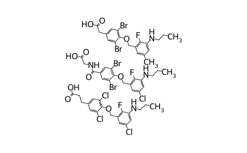 CCCNc1cc(C)cc(COc2c(Br)cc(CC(=O)O)cc2Br)c1F.CCCNc1cc(Cl)cc(COc2c(Br)cc(C(=O)NCC(=O)O)cc2Br)c1F.CCCNc1cc(Cl)cc(COc2c(Cl)cc(CCC(=O)O)cc2Cl)c1F